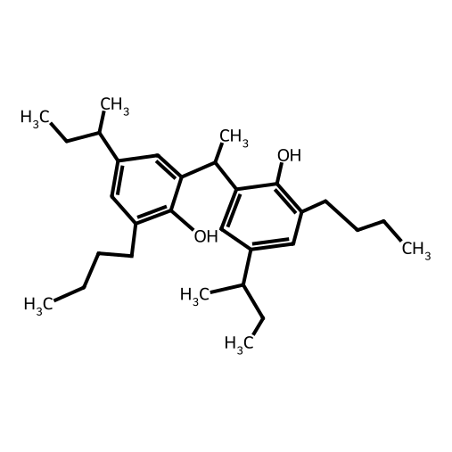 CCCCc1cc(C(C)CC)cc(C(C)c2cc(C(C)CC)cc(CCCC)c2O)c1O